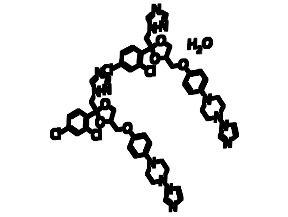 Clc1ccc(C2(Cn3cncn3)OCC(COc3ccc(N4CCN(n5ccnc5)CC4)cc3)O2)c(Cl)c1.Clc1ccc(C2(Cn3cncn3)OCC(COc3ccc(N4CCN(n5ccnc5)CC4)cc3)O2)c(Cl)c1.O